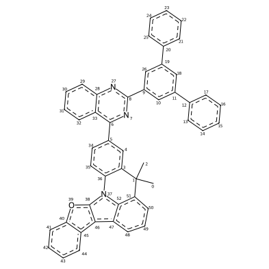 CC1(C)c2cc(-c3nc(-c4cc(-c5ccccc5)cc(-c5ccccc5)c4)nc4ccccc34)ccc2-n2c3oc4ccccc4c3c3cccc1c32